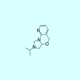 CC(C)N1CC2OCc3cccnc3N2C1